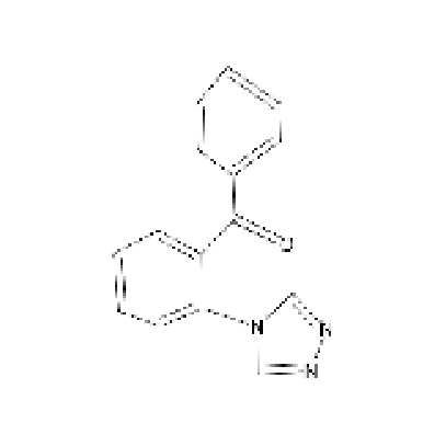 O=C(c1ccccc1)c1ccccc1-n1cnnc1